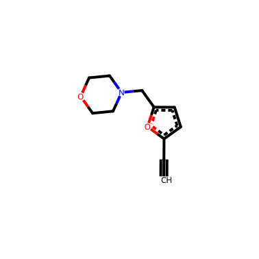 C#Cc1ccc(CN2CCOCC2)o1